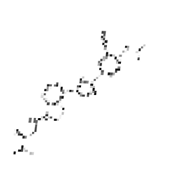 CC(C)Oc1ccc(-c2ncc(-c3cccc4c3CC[C@H]4NCC(=O)N(C)C)s2)cc1C#N